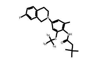 [2H]C([2H])([2H])Sc1cc(N2CCc3ccc(F)cc3C2)cc(C)c1NC(=O)CC(C)(C)C